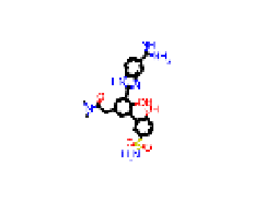 CN(C)C(=O)Cc1cc(-c2nc3cc(C(=N)N)ccc3[nH]2)c(O)c(-c2cc(S(N)(=O)=O)ccc2O)c1